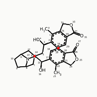 Cc1c(C(O)CN2CC3CCC(C2)N3CC(O)c2ccc3c(c2C)COC3=O)ccc2c1COC2=O